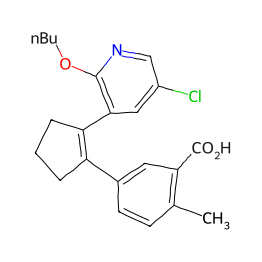 CCCCOc1ncc(Cl)cc1C1=C(c2ccc(C)c(C(=O)O)c2)CCC1